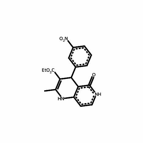 CCOC(=O)C1=C(C)Nc2cc[nH]c(=O)c2C1c1cccc([N+](=O)[O-])c1